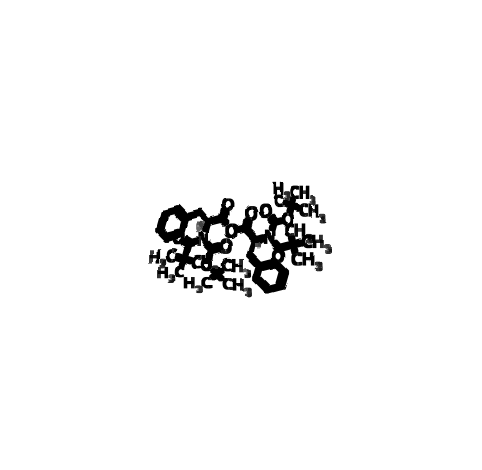 CC(C)(C)OC(=O)N(C(=O)C(C)(C)C)[C@@H](Cc1ccccc1)C(=O)OC(=O)[C@H](Cc1ccccc1)N(C(=O)OC(C)(C)C)C(=O)C(C)(C)C